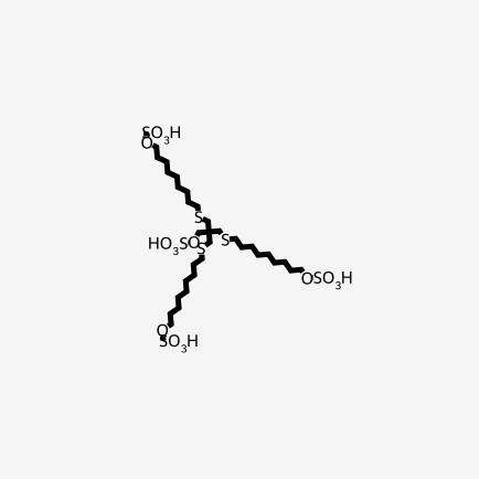 O=S(=O)(O)OCCCCCCCCCSCC(COS(=O)(=O)O)(CSCCCCCCCCCOS(=O)(=O)O)CSCCCCCCCCCOS(=O)(=O)O